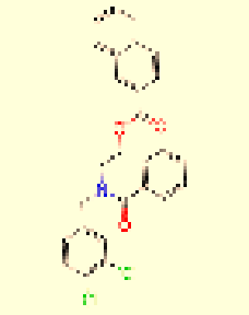 O=C(OCCN(Cc1ccc(Cl)c(Cl)c1)C(=O)c1ccccc1)c1ccc2ccccc2c1